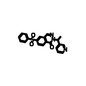 CC(c1cccnc1)n1ncc2cc(S(=O)(=O)c3ccccc3)ccc2c1=O